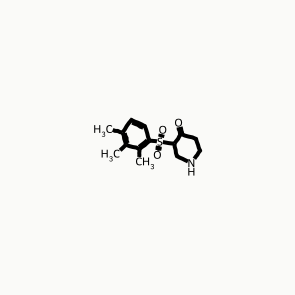 Cc1ccc(S(=O)(=O)C2CNCCC2=O)c(C)c1C